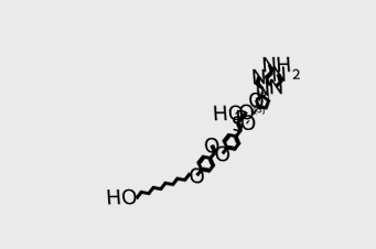 Nc1ncnc2c1ncn2[C@H]1CC[C@@H](COP(=O)(O)SCc2ccc(OC(=O)c3ccc(OCCCCCCCCCCO)cc3)cc2)O1